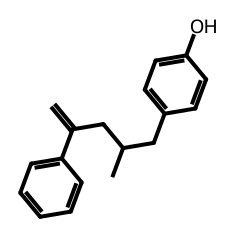 C=C(CC(C)Cc1ccc(O)cc1)c1ccccc1